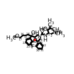 CNC[C@@H](NC(=O)N1CCC[C@@H]([C@@](O)(CCCCOC)c2cccc(F)c2Oc2ccccc2)C1)[C@H](O)C(C)C